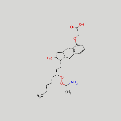 CCCCCC(CCC1C(O)CC2Cc3c(cccc3OCC(=O)O)CC21)OOC(C)N